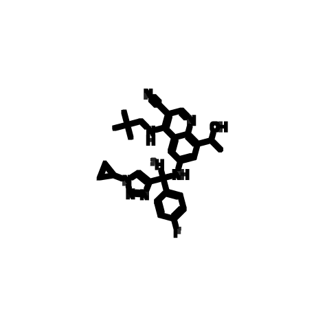 [2H]C(Nc1cc(C(C)O)c2ncc(C#N)c(NCC(C)(C)C)c2c1)(c1ccc(F)cc1)c1cn(C2CC2)nn1